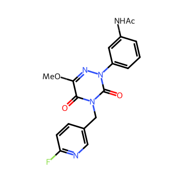 COc1nn(-c2cccc(NC(C)=O)c2)c(=O)n(Cc2ccc(F)nc2)c1=O